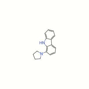 c1ccc2c(c1)[nH]c1c(N3CCCC3)cccc12